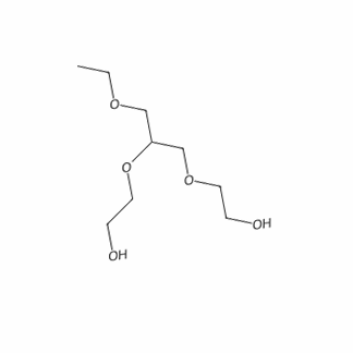 CCOCC(COCCO)OCCO